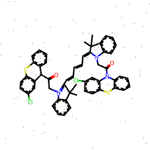 CC1(C)C(/C=C/C=C/C=C2\N(CC(=O)N3c4ccccc4Sc4ccc(Cl)cc43)c3ccccc3C2(C)C)=[N+](CC(=O)C2c3ccccc3Sc3ccc(Cl)cc32)c2ccccc21